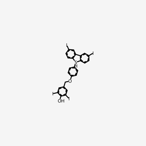 Oc1c(I)cc(COc2ccc([SH]3c4ccc(I)cc4-c4cc(I)ccc43)cc2)cc1I